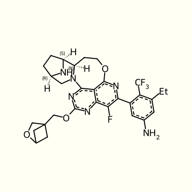 CCc1cc(N)cc(-c2nc3c4c(nc(OCC56COC(C5)C6)nc4c2F)N2C[C@H]4CC[C@H](N4)[C@H]2CCO3)c1C(F)(F)F